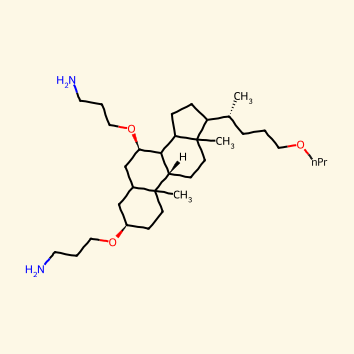 CCCOCCC[C@@H](C)C1CCC2C3[C@H](OCCCN)CC4C[C@H](OCCCN)CCC4(C)[C@H]3CCC21C